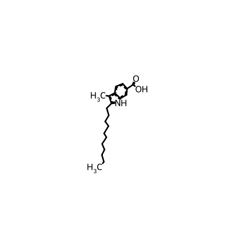 CCCCCCCCCCCc1[nH]c2cc(C(=O)O)ccc2c1C